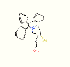 OC/C=C1/CN(C(c2ccccc2)(c2ccccc2)c2ccccc2)CCC1S